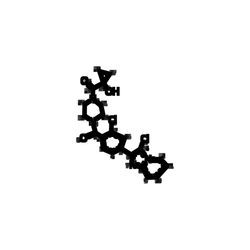 O=C(c1ccc(-c2nc3ccccn3c2Cl)cc1Cl)N1CCN(C(=O)C2(O)CC2)CC1